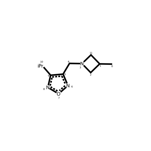 CC1CN(Cc2nonc2C(C)C)C1